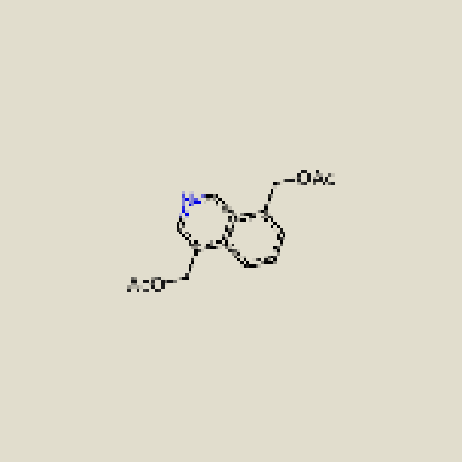 CC(=O)OCc1cncc2c(COC(C)=O)cccc12